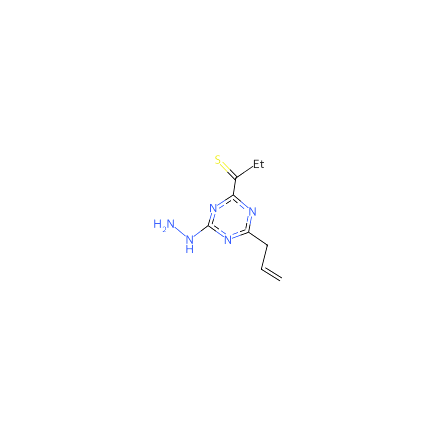 C=CCc1nc(NN)nc(C(=S)CC)n1